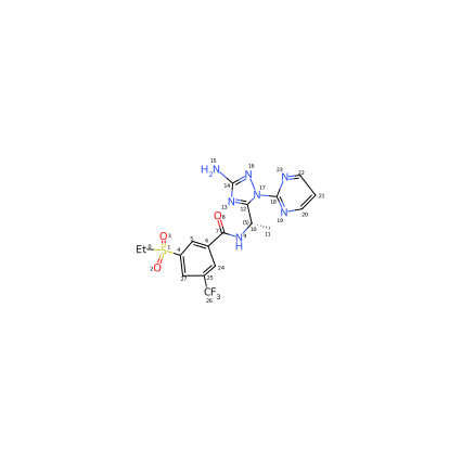 CCS(=O)(=O)c1cc(C(=O)N[C@@H](C)c2nc(N)nn2-c2ncccn2)cc(C(F)(F)F)c1